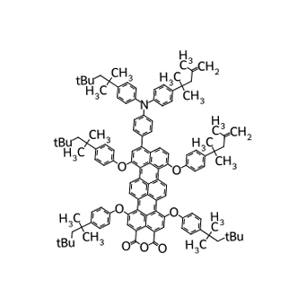 C=C(C)CC(C)(C)c1ccc(Oc2ccc3c(-c4ccc(N(c5ccc(C(C)(C)CC(=C)C)cc5)c5ccc(C(C)(C)CC(C)(C)C)cc5)cc4)cc(Oc4ccc(C(C)(C)CC(C)(C)C)cc4)c4c5ccc6c7c(Oc8ccc(C(C)(C)CC(C)(C)C)cc8)cc8c9c(cc(Oc%10ccc(C(C)(C)CC(C)(C)C)cc%10)c(c%10ccc(c2c34)c5c%106)c97)C(=O)OC8=O)cc1